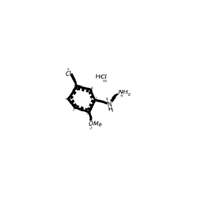 COc1ccc(Cl)cc1NN.Cl